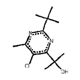 Cc1nc(C(C)(C)C)nc(C(C)(C)O)c1Cl